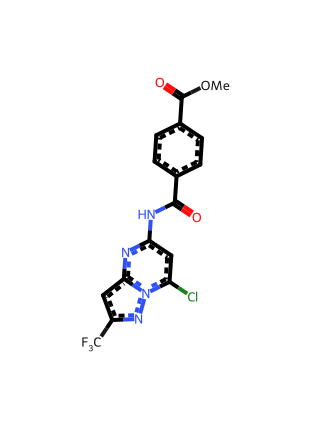 COC(=O)c1ccc(C(=O)Nc2cc(Cl)n3nc(C(F)(F)F)cc3n2)cc1